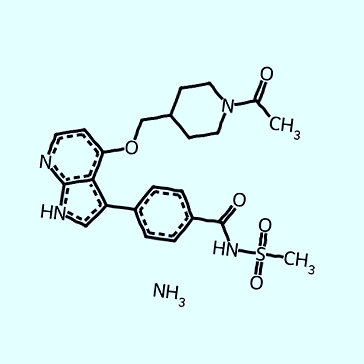 CC(=O)N1CCC(COc2ccnc3[nH]cc(-c4ccc(C(=O)NS(C)(=O)=O)cc4)c23)CC1.N